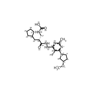 CO[C@@H]1CCN(c2nc(C)nc(NNC(=O)[C@@H](CNC(=O)O)CC3CCCC3)c2F)C1